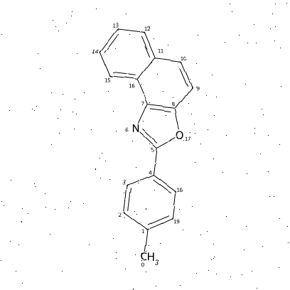 Cc1ccc(-c2nc3c(ccc4ccccc43)o2)cc1